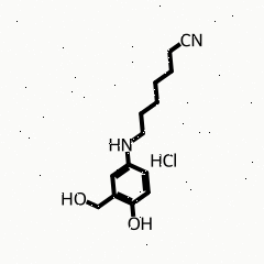 Cl.N#CCCCCCCNc1ccc(O)c(CO)c1